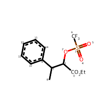 CCOC(=O)C(OS(=O)(=O)C(F)(F)F)C(C)c1ccccc1